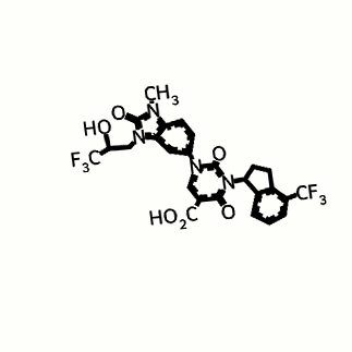 Cn1c(=O)n(CC(O)C(F)(F)F)c2cc(-n3cc(C(=O)O)c(=O)n(C4CCc5c4cccc5C(F)(F)F)c3=O)ccc21